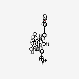 COC(=O)N[C@H](C(=O)NN(Cc1ccc(-c2cnn(C(F)F)c2)cc1)C[C@H](O)[C@H](Cc1ccc(C#Cc2ccc(N3CC4CCC(C3)N4C3COC3)nc2)cc1)NC(=O)[C@@H](NC(=O)OC)C(C)(C)C(F)(F)F)C(C)(C)C